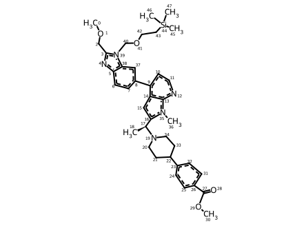 COCc1nc2ccc(-c3ccnc4c3cc([C@H](C)N3CCC(c5ccc(C(=O)OC)cc5)CC3)n4C)cc2n1COCC[Si](C)(C)C